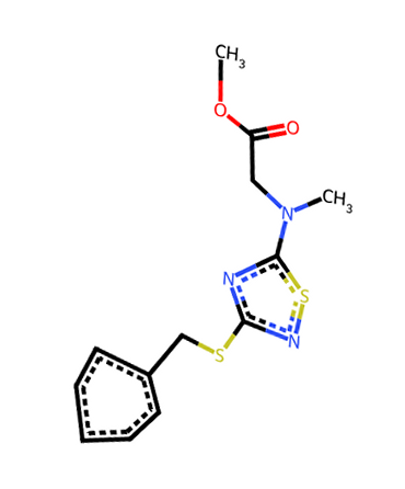 COC(=O)CN(C)c1nc(SCc2ccccc2)ns1